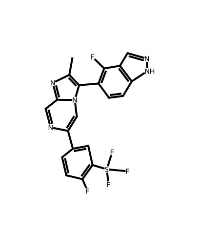 Cc1nc2cnc(-c3ccc(F)c(S(F)(F)F)c3)cn2c1-c1ccc2[nH]ncc2c1F